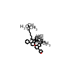 CC1=C(CCCCCCOC(C)(C)C)c2c(-c3ccccc3)cccc2[CH]1[Zr]([CH3])([CH3])(=[SiH2])[CH]1C(C(C)C)=Cc2c(-c3ccccc3)cccc21.Cl.Cl